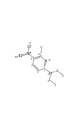 CCN(CC)c1ccc([N+](=O)[O-])c(C)n1